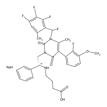 COc1cccc(-c2c(C)n(C(F)c3c(C)cc(F)c(F)c3F)c(=O)n(C[C@H](NCCCC(=O)O)c3ccccc3)c2=O)c1F.[NaH]